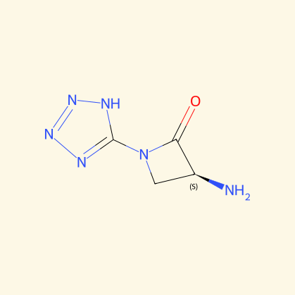 N[C@H]1CN(c2nnn[nH]2)C1=O